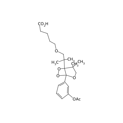 CC(=O)Oc1cccc(C23OCC(C)(C)C2(C(C)(C)COCCCCC(=O)O)OO3)c1